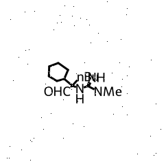 CCCCC(C=O)(NC(=N)NC)C1CCCCC1